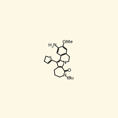 COc1cc2c(cc1N)-c1c(C3=CCCS3)c3c(n1CC2)C(=O)N(C(C)(C)C)CCC3